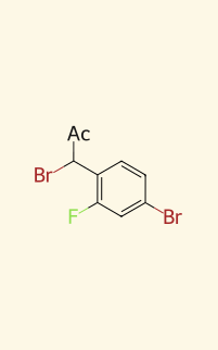 CC(=O)C(Br)c1ccc(Br)cc1F